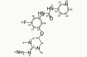 CN(C)/C(=N\C#N)N(C)CCOc1cc(F)cc(NC(=O)Nc2cccnc2)c1